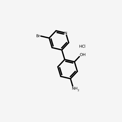 Cl.Nc1ccc(-c2cncc(Br)c2)c(O)c1